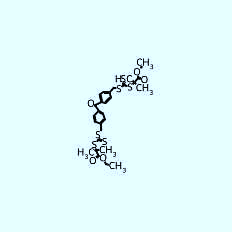 CCOC(=O)C(C)(C)SC(=S)SCc1ccc(C(=O)c2ccc(CSC(=S)SC(C)(C)C(=O)OCC)cc2)cc1